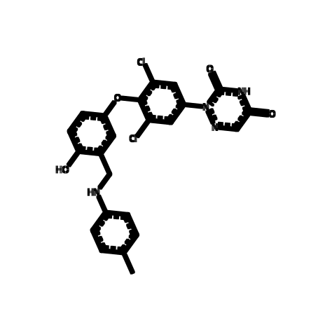 Cc1ccc(NCc2cc(Oc3c(Cl)cc(-n4ncc(=O)[nH]c4=O)cc3Cl)ccc2O)cc1